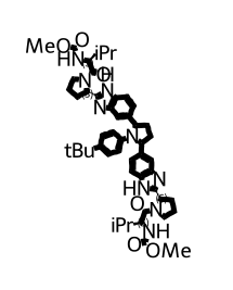 COC(=O)N[C@H](C(=O)N1CCC[C@H]1c1nc2cc(C3CCC(c4ccc5[nH]c([C@@H]6CCCN6C(=O)[C@@H](NC(=O)OC)C(C)C)nc5c4)N3c3ccc(C(C)(C)C)cc3)ccc2[nH]1)C(C)C